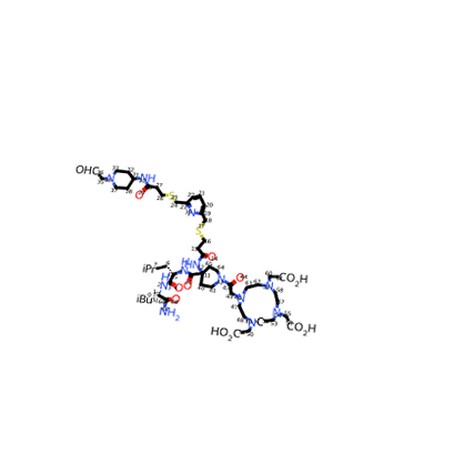 CC[C@H](C)[C@H](NC(=O)[C@H](CC(C)C)NC(=O)C1(NC(=O)CCSCc2cccc(CSCCC(=O)NC3CCN(CC=O)CC3)n2)CCN(C(=O)CN2CCN(CC(=O)O)CCN(CC(=O)O)CCN(CC(=O)O)CC2)CC1)C(N)=O